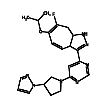 CC(C)OC1=C(F)CC2NN=C(c3cc(N4CCC(n5cccn5)C4)ncn3)C2C=C1